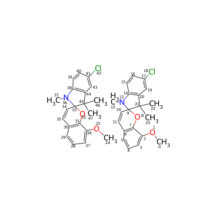 COc1cccc2c1OC1(C=C2)N(C)c2ccc(Cl)cc2C1(C)C.COc1cccc2c1OC1(C=C2)N(C)c2ccc(Cl)cc2C1(C)C